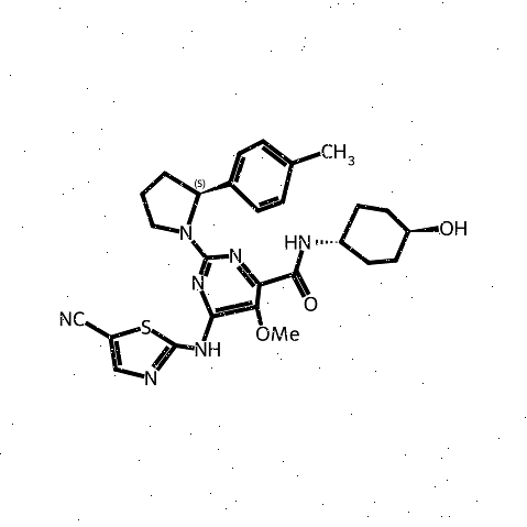 COc1c(Nc2ncc(C#N)s2)nc(N2CCC[C@H]2c2ccc(C)cc2)nc1C(=O)N[C@H]1CC[C@H](O)CC1